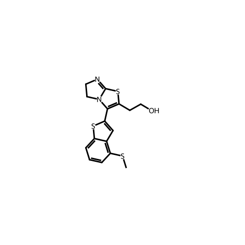 CSc1cccc2sc(C3=C(CCO)SC4=NCCN43)cc12